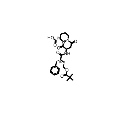 CC(C)(C)C(=O)OCS[C@H](Cc1ccccc1)C(=O)NC1CC(=O)N2CCC[C@@H](C(=O)O)N2C1=O